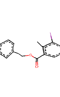 Cc1c(I)cccc1C(=O)OCc1ccccc1